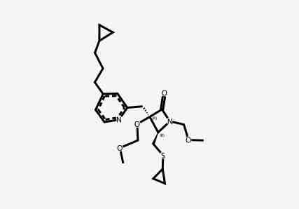 COCO[C@@]1(Cc2cc(CCCC3CC3)ccn2)C(=O)N(COC)[C@H]1CSC1CC1